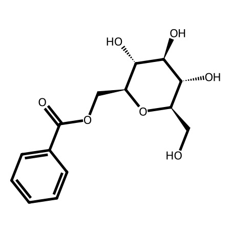 O=C(OC[C@@H]1O[C@H](CO)[C@@H](O)[C@H](O)[C@H]1O)c1ccccc1